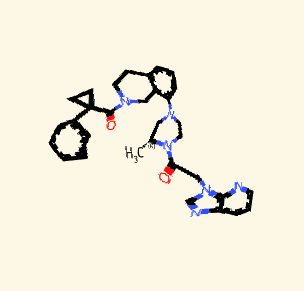 C[C@@H]1CN(c2cccc3c2CN(C(=O)C2(c4ccccc4)CC2)CC3)CCN1C(=O)Cn1cnc2cccnc21